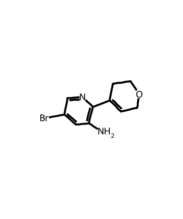 Nc1cc(Br)cnc1C1=CCOCC1